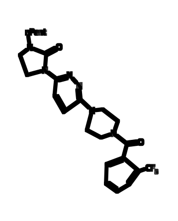 CCCCCN1CCN(c2ccc(N3CCN(C(=O)c4ccccc4C(F)(F)F)CC3)nn2)C1=O